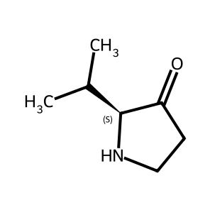 CC(C)[C@@H]1NCCC1=O